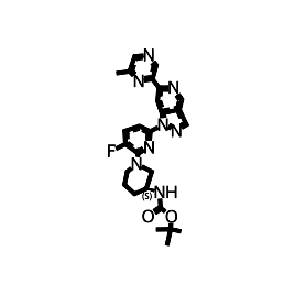 Cc1cncc(-c2cc3c(cn2)cnn3-c2ccc(F)c(N3CCC[C@H](NC(=O)OC(C)(C)C)C3)n2)n1